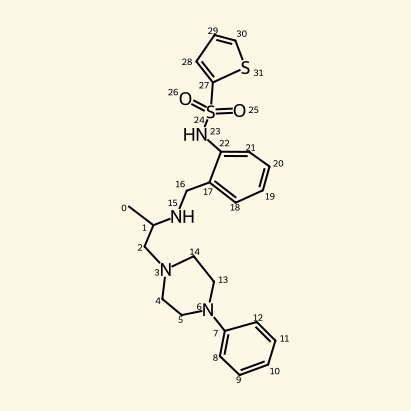 CC(CN1CCN(c2ccccc2)CC1)NCc1ccccc1NS(=O)(=O)c1cccs1